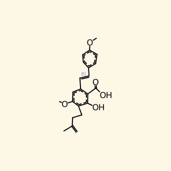 C=C(C)CCc1c(OC)cc(/C=C/c2ccc(OC)cc2)c(C(=O)O)c1O